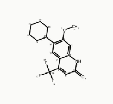 COc1cc2[nH]c(=O)cc(C(F)(F)F)c2cc1C1CCCCC1